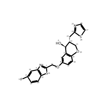 O[C@@H]1c2cc(OCc3nc4cc(F)ccc4s3)ccc2OC[C@H]1Cc1nccs1